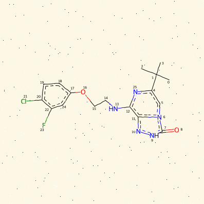 CC(C)(C)c1cn2c(=O)[nH]nc2c(NCCOc2ccc(Cl)c(F)c2)n1